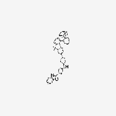 CC1(C)c2cc(-c3ccc(Nc4ccc(-c5nc6ccccc6o5)cc4)cc3)ccc2-c2c(-c3ccccc3C3C4CC5CC(C4)C3C5)cccc21